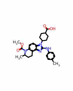 COC(=O)N1c2ccc3c(nc(Nc4ccc(C)cc4)n3C3CCC(C(=O)O)CC3)c2CCC1C